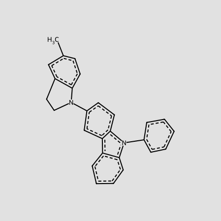 Cc1ccc2c(c1)CCN2c1ccc2c(c1)c1ccccc1n2-c1ccccc1